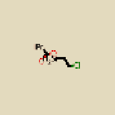 CC(C)C(=O)O[SiH2]CCCl